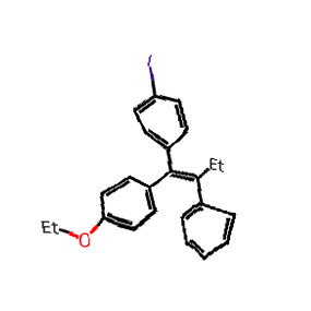 CCOc1ccc(C(=C(CC)c2ccccc2)c2ccc(I)cc2)cc1